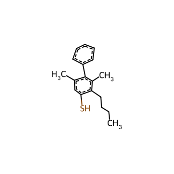 CCCCc1c(S)cc(C)c(-c2ccccc2)c1C